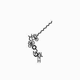 CCCCCCCCCCCCNC(=O)OC[C@H](CC(C)C)N(C)S(=O)(=O)c1ccc(Cc2nccc3[nH]c(C)nc23)cc1